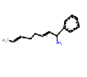 C/C=C/CC/C=C/C(N)c1ccccc1